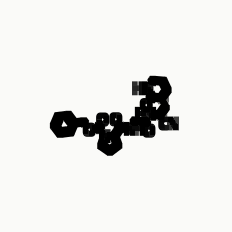 N#C[C@H](C[C@@H]1CCCNC1=O)NC(=O)CNC(=O)C1CCCN1C(=O)OCc1ccccc1